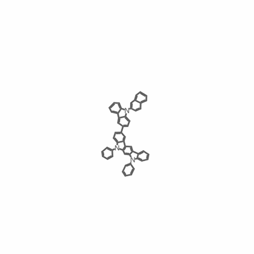 c1ccc(-n2c3ccccc3c3cc4c5cc(-c6ccc7c(c6)c6ccccc6n7-c6ccc7ccccc7c6)ccc5n(-c5ccccc5)c4cc32)cc1